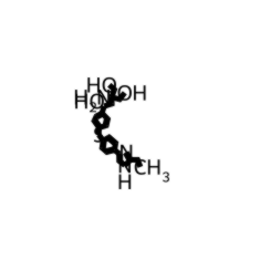 CCc1nc(-c2ccc(Sc3ccc(C(O)CC(N)(CO)CO)cc3)cc2)c[nH]1